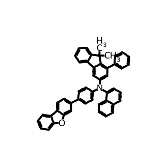 CC1(C)c2ccccc2-c2cc(N(c3ccc(-c4ccc5c(c4)oc4ccccc45)cc3)c3cccc4ccccc34)cc(-c3ccccc3)c21